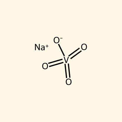 [Na+].[O]=[V](=[O])(=[O])[O-]